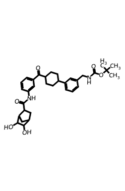 CC(C)(C)OC(=O)NCc1cccc(C2CCC(C(=O)c3cccc(NC(=O)C4CC5CC4C(O)C5O)c3)CC2)c1